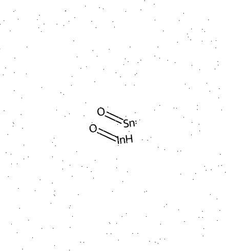 [O]=[InH].[O]=[Sn]